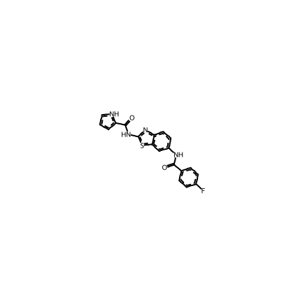 O=C(Nc1ccc2nc(NC(=O)c3ccc[nH]3)sc2c1)c1ccc(F)cc1